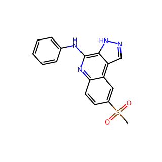 CS(=O)(=O)c1ccc2nc(Nc3cc[c]cc3)c3[nH]ncc3c2c1